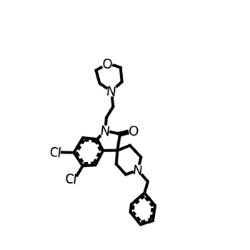 O=C1N(CCN2CCOCC2)c2cc(Cl)c(Cl)cc2C12CCN(Cc1ccccc1)CC2